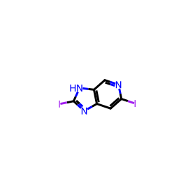 Ic1cc2nc(I)[nH]c2cn1